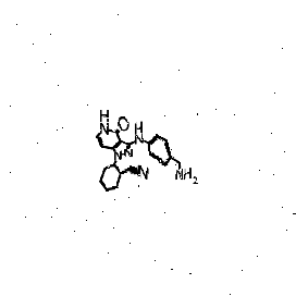 N#CC1CCCCC1n1nc(Nc2ccc(CN)cc2)c2c(=O)[nH]ccc21